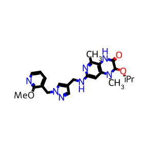 COc1ncccc1Cn1cc(CNc2cc3c(c(C)n2)NC(=O)C(OC(C)C)N3C)cn1